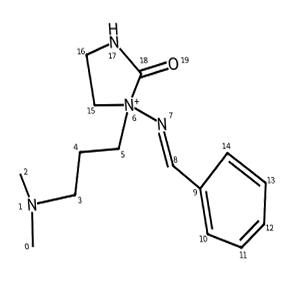 CN(C)CCC[N+]1(N=Cc2ccccc2)CCNC1=O